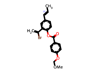 C=C(Br)c1cc(/C=C/C)ccc1OC(=O)c1ccc(OCOC)cc1